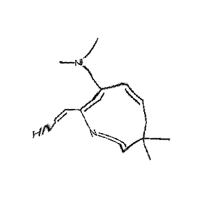 CN(C)C1=C(C=N)N=CC(C)(C)C=C1